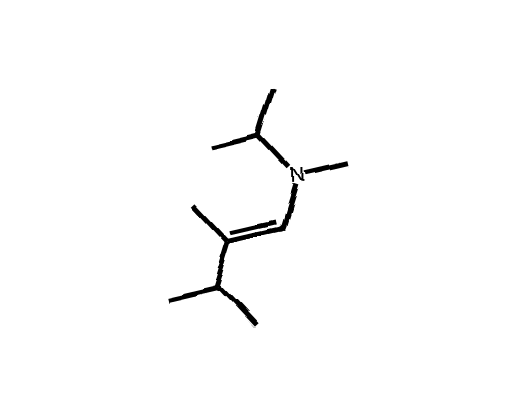 C/C(=C\N(C)C(C)C)C(C)C